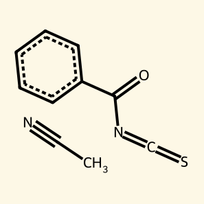 CC#N.O=C(N=C=S)c1ccccc1